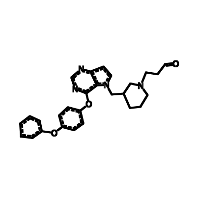 O=CCCN1CCCC(Cn2ccc3ncnc(Oc4ccc(Oc5ccccc5)cc4)c32)C1